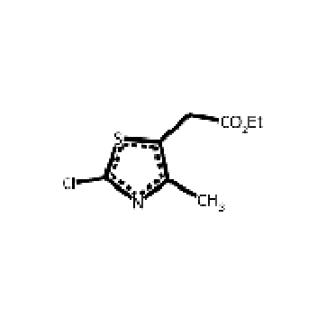 CCOC(=O)Cc1sc(Cl)nc1C